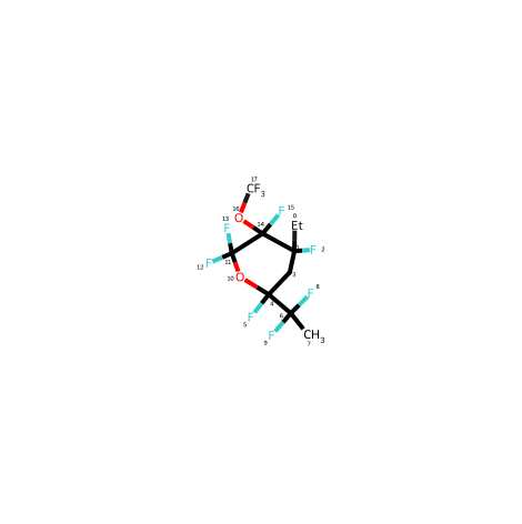 CCC1(F)CC(F)(C(C)(F)F)OC(F)(F)C1(F)OC(F)(F)F